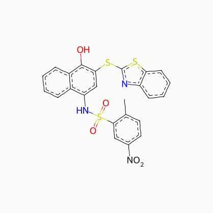 Cc1ccc([N+](=O)[O-])cc1S(=O)(=O)Nc1cc(Sc2nc3ccccc3s2)c(O)c2ccccc12